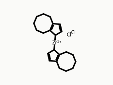 C1=C[CH]([Zr+2][CH]2C=CC3=C2CCCCCC3)C2=C1CCCCCC2.[Cl-].[Cl-]